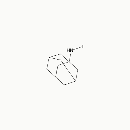 INC12CC3CC(CC(C3)C1)C2